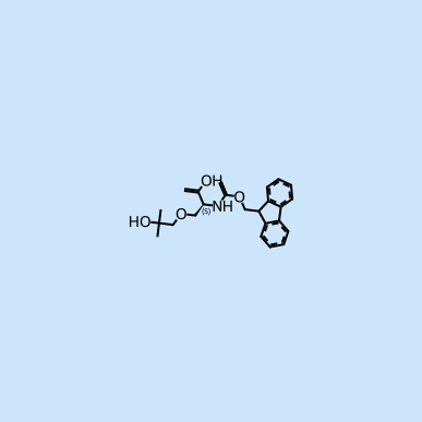 C=C(N[C@@H](COCC(C)(C)O)C(=C)O)OCC1c2ccccc2-c2ccccc21